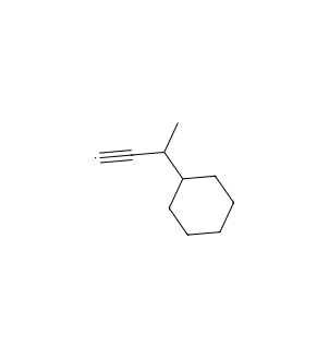 [C]#CC(C)C1CCCCC1